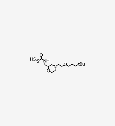 CC(C)(C)CCCOCCN1CCO[C@@H](CNC(=O)SS)C1